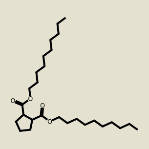 CCCCCCCCCCOC(=O)C1CCCC1C(=O)OCCCCCCCCCC